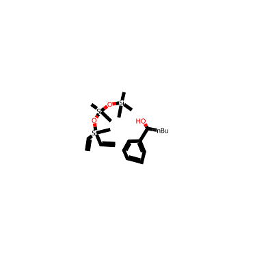 C=C[Si](C)(C=C)O[Si](C)(C)O[Si](C)(C)C.CCCCC(O)c1ccccc1